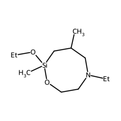 CCO[Si]1(C)CC(C)CN(CC)CCO1